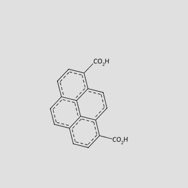 O=C(O)c1ccc2ccc3ccc(C(=O)O)c4ccc1c2c34